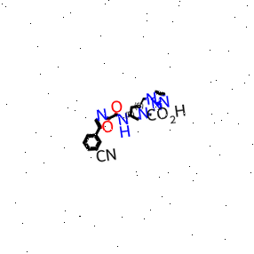 N#Cc1cccc(-c2cnc(C(=O)N[C@@H]3C[C@@H](Cn4ccnn4)N(C(=O)O)C3)o2)c1